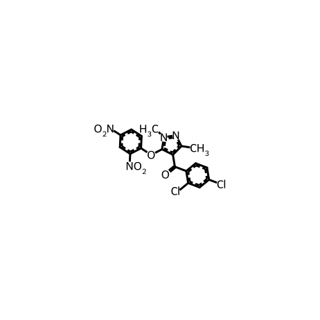 Cc1nn(C)c(Oc2ccc([N+](=O)[O-])cc2[N+](=O)[O-])c1C(=O)c1ccc(Cl)cc1Cl